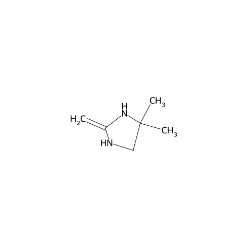 C=C1NCC(C)(C)N1